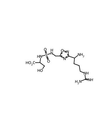 N=C(N)NCCCC(N)c1noc(CNS(=O)(=O)NC(CO)C(=O)O)n1